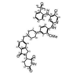 COc1cc(N2CCN(Cc3ccc4c(c3)CN(C3CCC(=O)NC3=O)C4=O)CC2)ccc1Nc1ncc(Cl)c(Nc2ccccc2P(C)(C)=O)n1